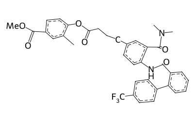 COC(=O)c1ccc(OC(=O)CCCc2ccc(NC(=O)c3ccccc3-c3ccc(C(F)(F)F)cc3)c(C(=O)N(C)C)c2)c(C)c1